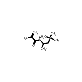 [CH2]C(C[N+](C)(C)C)NC(=O)C(=C)C